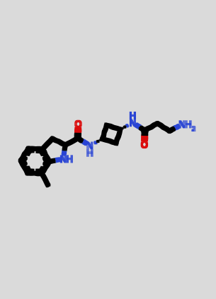 Cc1cccc2c1NC(C(=O)N[C@H]1C[C@@H](NC(=O)CCN)C1)C2